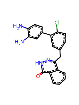 Nc1ccc(-c2cc(Cc3n[nH]c(=O)c4ccccc34)ccc2Cl)cc1N